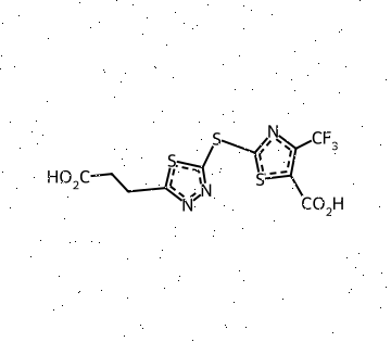 O=C(O)CCc1nnc(Sc2nc(C(F)(F)F)c(C(=O)O)s2)s1